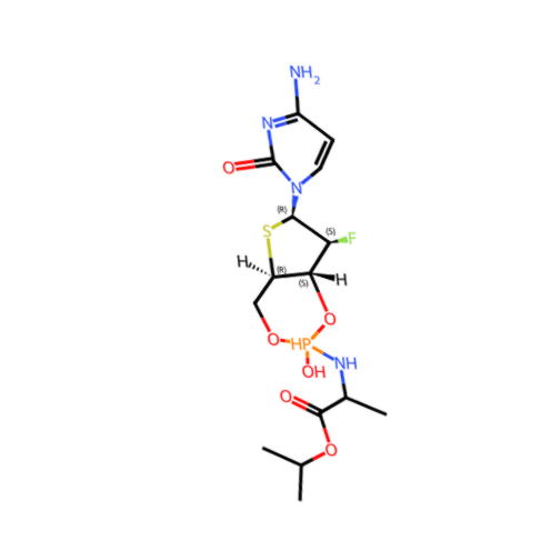 CC(C)OC(=O)C(C)N[PH]1(O)OC[C@H]2S[C@@H](n3ccc(N)nc3=O)[C@@H](F)[C@@H]2O1